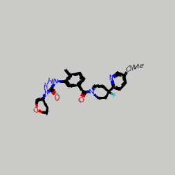 COc1ccc(C2(F)CCN(C(=O)c3ccc(C)c(NC(=O)NC4CCOC4)c3)CC2)nc1